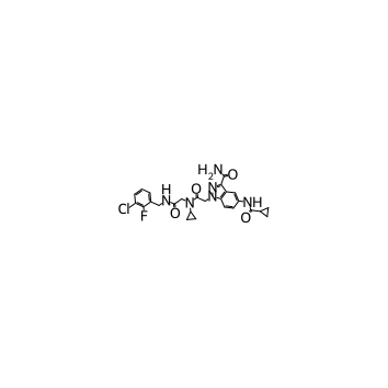 NC(=O)c1nn(CC(=O)N(CC(=O)NCc2cccc(Cl)c2F)C2CC2)c2ccc(NC(=O)C3CC3)cc12